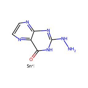 NNc1nc2nccnc2c(=O)[nH]1.[Sn+]